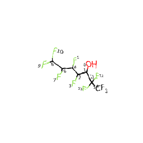 OC(C(F)C(F)C(F)C(F)F)C(F)(F)C(F)(F)F